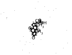 CC(CC(=O)O)C1CCC2C3C(=O)CC4=CC(=O)CCC4(C)C3C(=O)CC12C